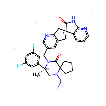 C[C@@]1(c2cc(F)cc(F)c2)CN(CI)C2(CCCC2)C(=O)N1Cc1cnc2c(c1)C[C@@]1(C2)C(=O)Nc2ncccc21